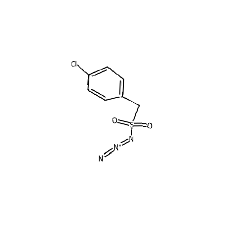 [N-]=[N+]=NS(=O)(=O)Cc1ccc(Cl)cc1